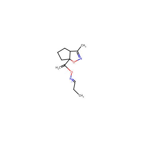 C=C(O/N=C/CC)C12CCCC1C(C)=NO2